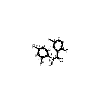 Cc1ccc(F)c(C(=O)N(C)c2ccc(F)cc2F)c1